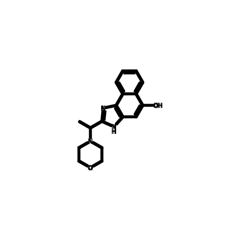 CC(c1nc2c(cc(O)c3ccccc32)[nH]1)N1CCOCC1